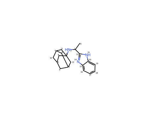 CC(NC12CC3CC(CC(C3)C1)C2)c1nc2ccccc2[nH]1